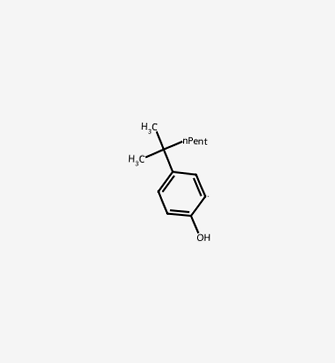 CCCCCC(C)(C)c1c[c]c(O)cc1